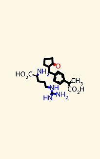 CC(C(=O)O)c1ccc(CC2CCCC2=O)cc1.N=C(N)NCCC[C@H](N)C(=O)O